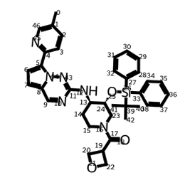 Cc1ccc(-c2ccc3cnc(N[C@@H]4CCN(C(=O)C5COC5)C[C@H]4O[Si](c4ccccc4)(c4ccccc4)C(C)(C)C)nn23)nc1